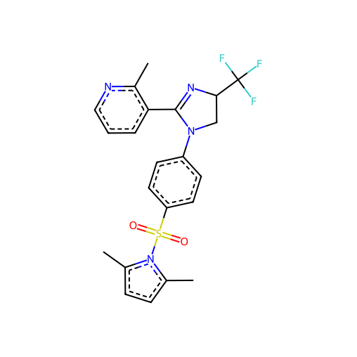 Cc1ncccc1C1=NC(C(F)(F)F)CN1c1ccc(S(=O)(=O)n2c(C)ccc2C)cc1